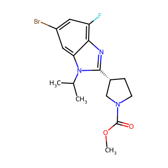 COC(=O)N1CC[C@@H](c2nc3c(F)cc(Br)cc3n2C(C)C)C1